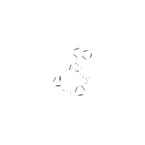 O=C1Nc2cccc(c2)S(=O)(=O)Nc2nc(cc(-c3cccc4ccccc34)n2)Oc2cccc1c2